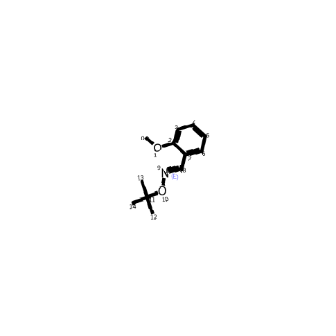 COc1ccccc1/[C]=N/OC(C)(C)C